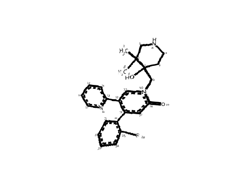 CC1(C)CNCCC1(O)Cn1cc(-c2ccccn2)c(-c2ccccc2F)cc1=O